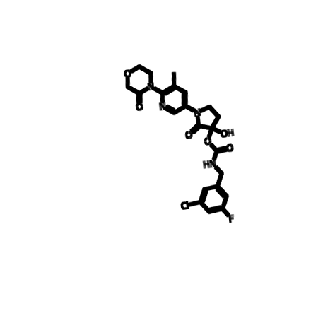 Cc1cc(N2CCC(O)(OC(=O)NCc3cc(F)cc(Cl)c3)C2=O)cnc1N1CCOCC1=O